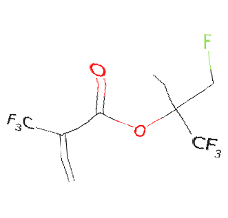 C=C(C(=O)OC(C)(CF)C(F)(F)F)C(F)(F)F